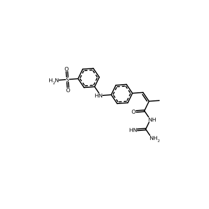 CC(=Cc1ccc(Nc2cccc(S(N)(=O)=O)c2)cc1)C(=O)NC(=N)N